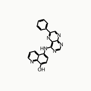 Oc1ccc(Nc2ncnc3ncc(-c4ccccc4)nc23)c2cccnc12